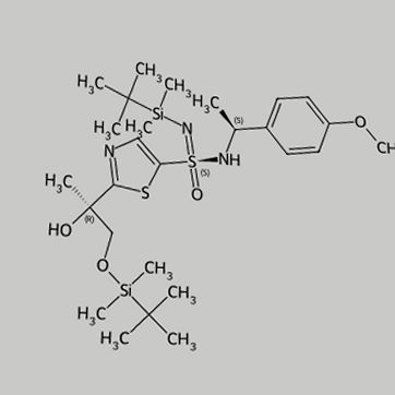 COc1ccc([C@H](C)N[S@](=O)(=N[Si](C)(C)C(C)(C)C)c2cnc([C@](C)(O)CO[Si](C)(C)C(C)(C)C)s2)cc1